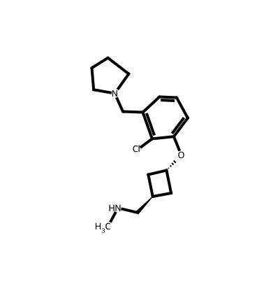 CNC[C@H]1C[C@H](Oc2cccc(CN3CCCC3)c2Cl)C1